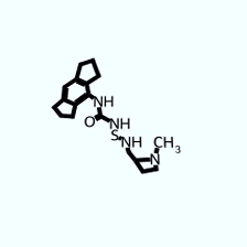 CN1CCC1CNSNC(=O)Nc1c2c(cc3c1CCC3)CCC2